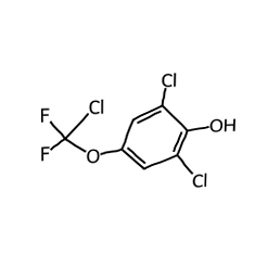 Oc1c(Cl)cc(OC(F)(F)Cl)cc1Cl